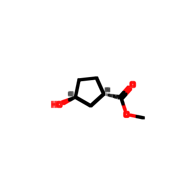 COC(=O)[C@H]1CC[C@H](O)C1